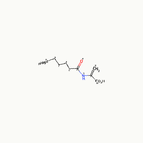 C=C(NC(=O)CCCCCCCCCCC)C(=O)O